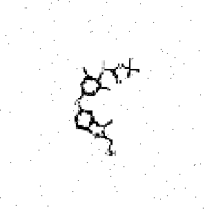 Cc1cc(Oc2ccc3nc(CO)n(C)c3c2)cc(C)c1NC(=O)OC(C)(C)C